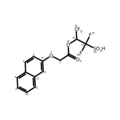 O=C(COc1ccc2ccccc2c1)OC(C(F)(F)F)C(F)(F)S(=O)(=O)O